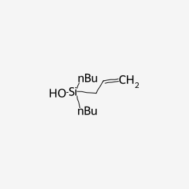 C=CC[Si](O)(CCCC)CCCC